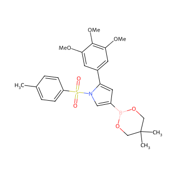 COc1cc(-c2cc(B3OCC(C)(C)CO3)cn2S(=O)(=O)c2ccc(C)cc2)cc(OC)c1OC